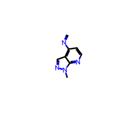 C=Nc1ccnc2c1cnn2C